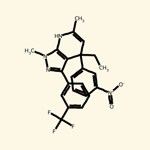 CCC1(c2cccc([N+](=O)[O-])c2)C=C(C)Nc2c1c(-c1cccc(C(F)(F)F)c1)nn2C